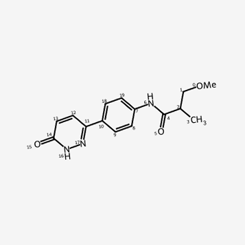 COCC(C)C(=O)Nc1ccc(-c2ccc(=O)[nH]n2)cc1